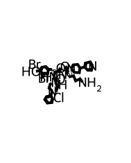 NCCCC[C@H](NC(=O)[C@@H](Cc1cc(Br)c(O)c(Br)c1)NC(=O)N1CCN(c2ccccc2Cl)CC1)C(=O)N1CCC(c2ccncc2)CC1